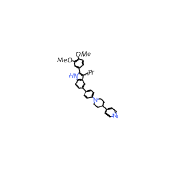 COc1ccc(-c2[nH]c3ccc(-c4ccc(N5CCC(c6ccncc6)CC5)cc4)cc3c2C(C)C)cc1OC